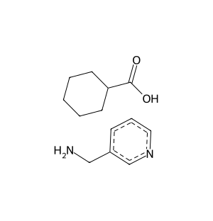 NCc1cccnc1.O=C(O)C1CCCCC1